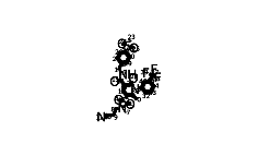 Cc1c(S(=O)(=O)N(C)CCC#N)cc(C(=O)NCc2ccc(S(C)(=O)=O)cc2)c(=O)n1-c1cccc(C(F)(F)F)c1